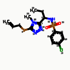 C=CCSc1nnc(C(CC)NS(=O)(=O)c2ccc(Cl)cc2)n1C